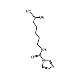 O=C(NCCCCCB(O)O)n1ccnc1